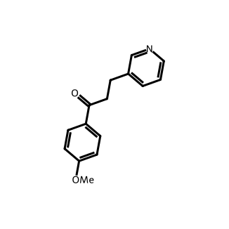 COc1ccc(C(=O)CCc2cccnc2)cc1